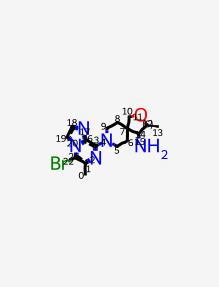 Cc1nc(N2CCC3(CC2)CO[C@@H](C)C3N)c2nccn2c1Br